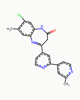 Cc1cc(-c2cc(C3=Nc4cc(C)c(Cl)cc4NC(=O)C3)ccn2)ccn1